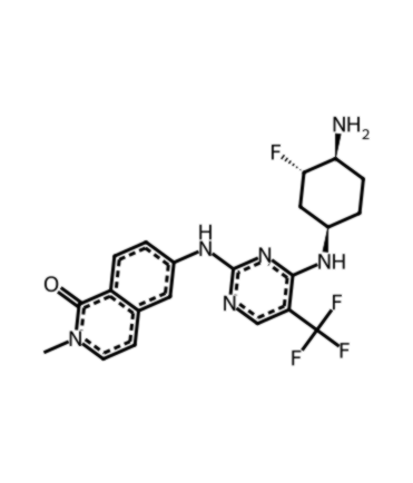 Cn1ccc2cc(Nc3ncc(C(F)(F)F)c(N[C@@H]4CC[C@H](N)[C@@H](F)C4)n3)ccc2c1=O